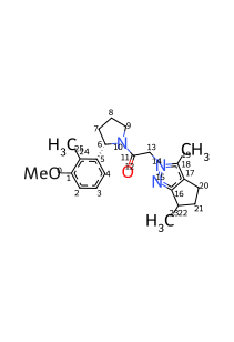 COc1cccc([C@@H]2CCCN2C(=O)Cn2nc3c(c2C)CCC3C)c1C